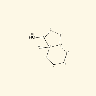 CC12CCCCC1CCC2O